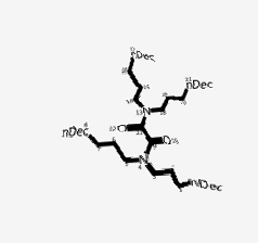 CCCCCCCCCCCCCN(CCCCCCCCCCCCC)C(=O)C(=O)N(CCCCCCCCCCCCC)CCCCCCCCCCCCC